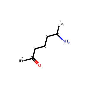 CCCC(N)CCCC(=O)C(C)C